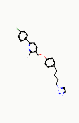 Cc1nc(-c2ccc(Cl)cc2)ccc1COc1ccc(CCCCn2ccnn2)cc1